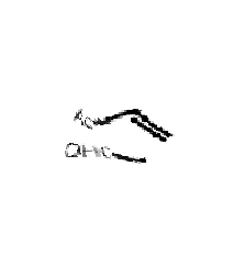 C=CC(C)=O.CC=O